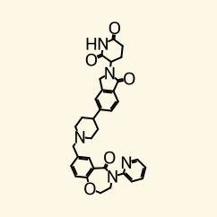 O=C1CCC(N2Cc3cc(C4CCN(Cc5ccc6c(c5)C(=O)N(c5ccccn5)CCO6)CC4)ccc3C2=O)C(=O)N1